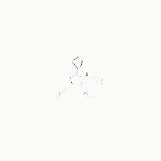 COCCOC(=O)CC(c1ccccc1)N(CCC(=O)NO)C(=O)CCC(C)C